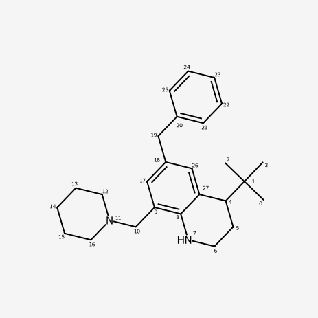 CC(C)(C)C1CCNc2c(CN3CCCCC3)cc(Cc3ccccc3)cc21